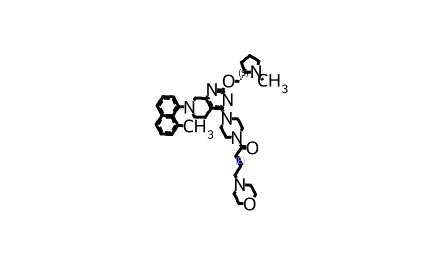 Cc1cccc2cccc(N3CCc4c(nc(OC[C@@H]5CCCN5C)nc4N4CCN(C(=O)/C=C/CN5CCOCC5)CC4)C3)c12